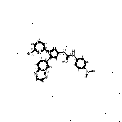 CN(C)c1ccc(NC(=O)Cc2cc(-c3ccc4nccnc4c3)n(-c3cccc(Br)n3)n2)cc1